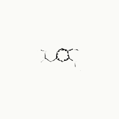 CN[C@H](C)Cc1ccc(OC)c(OC)c1